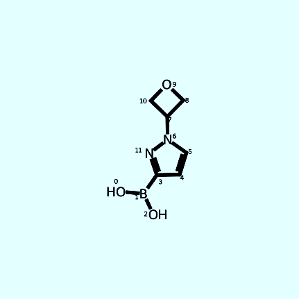 OB(O)c1ccn(C2COC2)n1